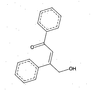 O=C(/C=C(/CO)c1ccccc1)c1ccccc1